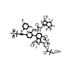 C[C@@H]1c2c(C(F)(F)F)nn(CC(=O)N[C@@H](Cc3cc(F)cc(F)c3)c3nc(C#CC(C)(C)S(C)(=O)=O)ccc3-c3ccc(Cl)c4c(N(COC(=O)C(C)(C)CO)S(C)(=O)=O)nn(CC(F)(F)F)c34)c2C(F)(F)[C@@H]1C